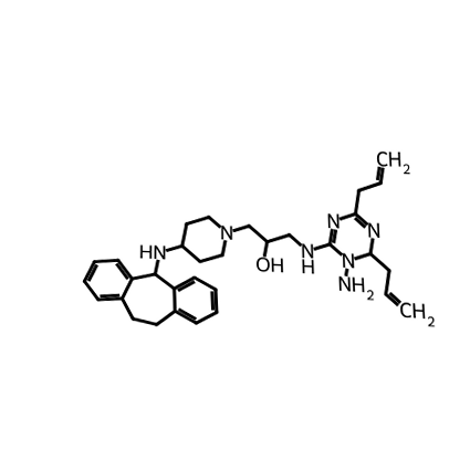 C=CCC1=NC(CC=C)N(N)C(NCC(O)CN2CCC(NC3c4ccccc4CCc4ccccc43)CC2)=N1